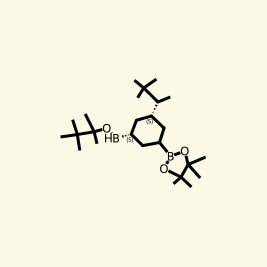 CC([C@@H]1CC(B2OC(C)(C)C(C)(C)O2)C[C@H](BOC(C)(C)C(C)(C)C)C1)C(C)(C)C